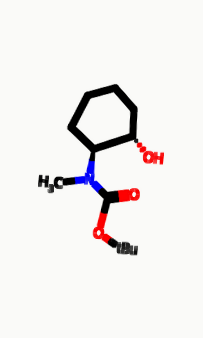 CN(C(=O)OC(C)(C)C)[C@H]1CCCC[C@@H]1O